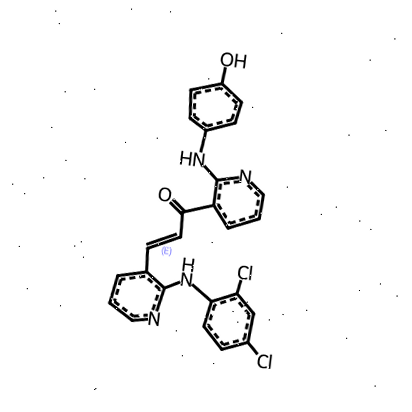 O=C(/C=C/c1cccnc1Nc1ccc(Cl)cc1Cl)c1cccnc1Nc1ccc(O)cc1